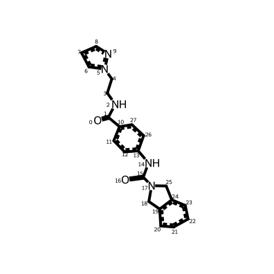 O=C(NCCn1cccn1)c1ccc(NC(=O)N2Cc3ccccc3C2)cc1